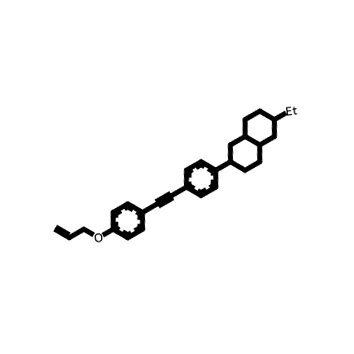 C=CCOc1ccc(C#Cc2ccc(C3CCC4CC(CC)CCC4C3)cc2)cc1